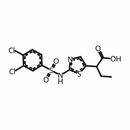 CCC(C(=O)O)c1cnc(NS(=O)(=O)c2ccc(Cl)c(Cl)c2)s1